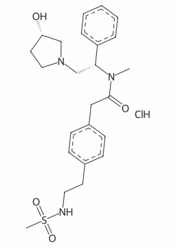 CN(C(=O)Cc1ccc(CCNS(C)(=O)=O)cc1)[C@H](CN1CC[C@H](O)C1)c1ccccc1.Cl